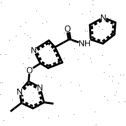 Cc1cc(C)nc(Oc2ccc(C(=O)Nc3cccnc3)cn2)n1